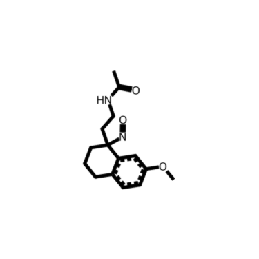 COc1ccc2c(c1)C(CCNC(C)=O)(N=O)CCC2